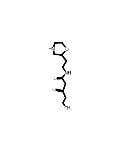 CCCC(=O)CC(=O)NCCC1CNCCO1